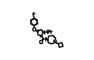 CC(C)N1C[C@@H](Oc2ccc(F)cc2)C[C@@H]1C(=O)N1CCCN(C2CCC2)CC1